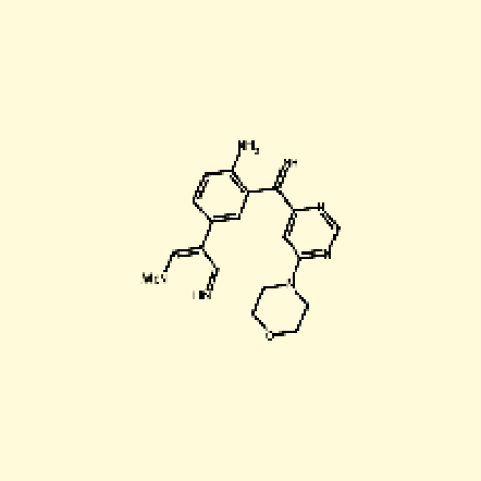 CN/C=C(\C=N)c1ccc(N)c(C(=N)c2cc(N3CCOCC3)ncn2)c1